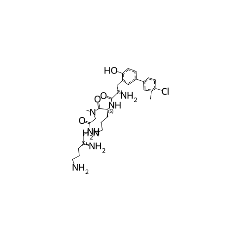 Cc1cc(-c2ccc(O)c(C[C@H](N)C(=O)N[C@@H](CCCN)C(=O)N(C)CC(=O)NC[C@@H](N)CCCN)c2)ccc1Cl